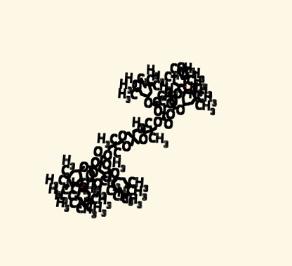 CCC(OC(=O)OC1CC(C)(C)N(C)C(C)(C)C1)C(OC(=O)OC1CC(C)(C)N(C)C(C)(C)C1)(OC(=O)OC1CC(C)(C)N(C)C(C)(C)C1)C(=O)OCC(C)(C)C1OCC2(CO1)COC(C(C)(C)COC(=O)C(OC(=O)OC1CC(C)(C)N(C)C(C)(C)C1)(OC(=O)OC1CC(C)(C)N(C)C(C)(C)C1)C(CC)OC(=O)OC1CC(C)(C)N(C)C(C)(C)C1)OC2